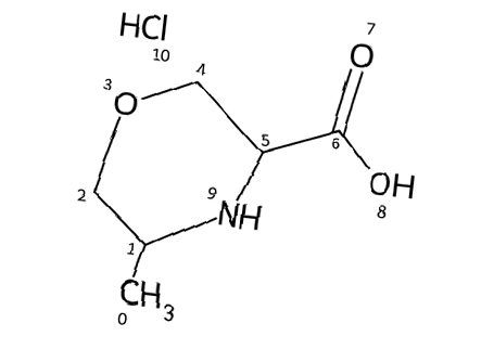 CC1COCC(C(=O)O)N1.Cl